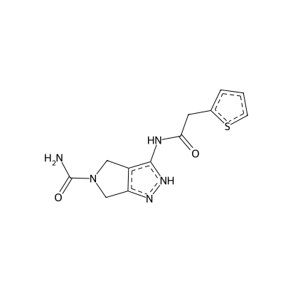 NC(=O)N1Cc2n[nH]c(NC(=O)Cc3cccs3)c2C1